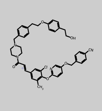 Cc1cc(/C=C/C(=O)N2CCN(Cc3ccc(CCOc4ccc(CCO)cc4)cc3)CC2)cc(Cl)c1Oc1ccc(OCc2ccc(C#N)cc2)cn1